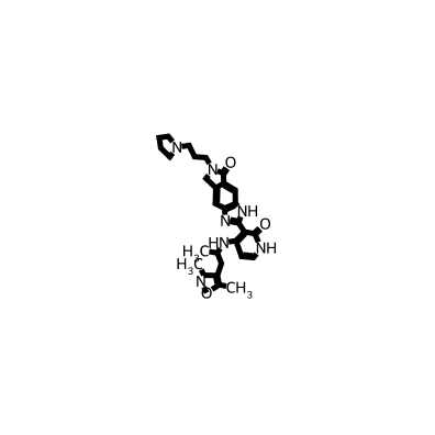 Cc1noc(C)c1CC(C)Nc1cc[nH]c(=O)c1-c1nc2cc3c(cc2[nH]1)C(=O)N(CCCN1CCCC1)C3